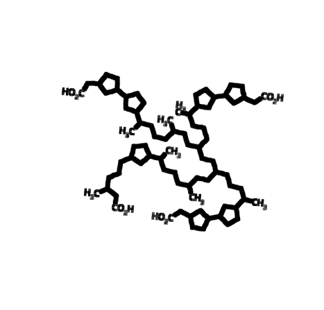 CC(CCCC(C)C1CCC(CCCC(C)CC(=O)O)C1)CCC(CCCC(C)C1CCC(C2CCC(CC(=O)O)C2)C1)CCC(CCCC(C)C1CCC(C2CCC(CC(=O)O)C2)C1)CCC(C)CCCC(C)C1CCC(C2CCC(CC(=O)O)C2)C1